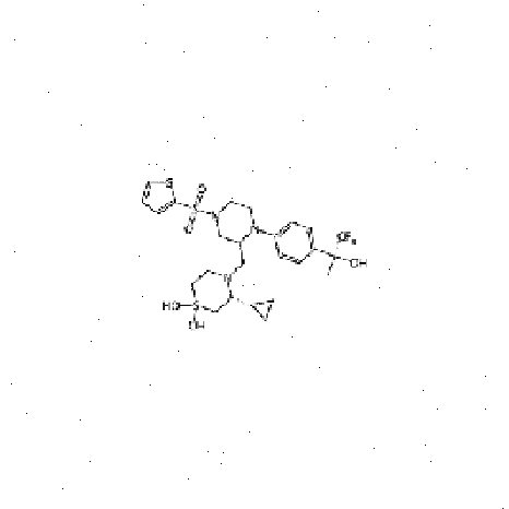 C[C@](O)(c1ccc(N2CCN(S(=O)(=O)c3cccs3)C[C@@H]2CN2CCS(O)(O)C[C@H]2C2CC2)cc1)C(F)(F)F